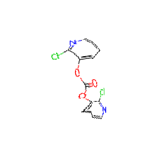 O=C(Oc1cccnc1Cl)Oc1cccnc1Cl